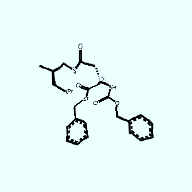 CC(C)CC(C)CSC(=O)C[C@H](NC(=O)OCc1ccccc1)C(=O)OCc1ccccc1